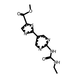 CCNC(=O)Nc1ncc(-c2ncc(C(=O)OC)s2)cn1